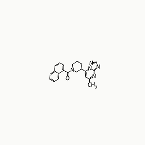 Cc1cc(C2CCCN(C(=O)c3cccc4ccccc34)C2)n2ncnc2n1